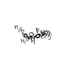 CNC(C(=O)Nc1ccc([Si](C)(C)C)c(F)c1)c1ccc(COC)cc1